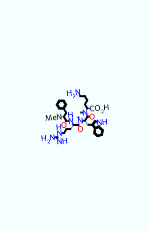 CN[C@H](Cc1ccccc1)C(=O)N[C@@H](CCCNC(=N)N)C(=O)N(C)[C@@H](Cc1c[nH]c2ccccc12)C(=O)N(C)[C@@H](CCCCN)C(=O)O